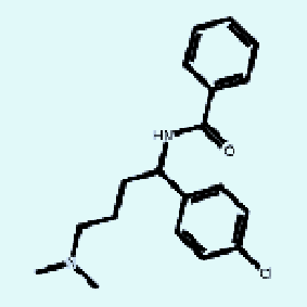 CN(C)CCCC(NC(=O)c1ccccc1)c1ccc(Cl)cc1